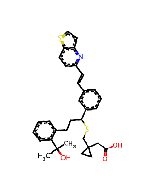 CC(C)(O)c1ccccc1CCC(SCC1(CC(=O)O)CC1)c1cccc(/C=C/c2ccc3sccc3n2)c1